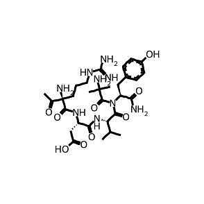 CC(=O)[C@](N)(CCCNC(=N)N)C(=O)N[C@@H](CC(=O)O)C(=O)N[C@H](C(=O)N(C(=O)C(C)(C)N)[C@@H](Cc1ccc(O)cc1)C(N)=O)C(C)C